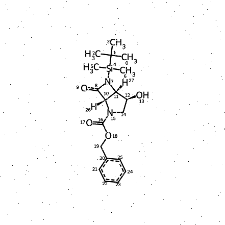 CC(C)(C)[Si](C)(C)N1C(=O)[C@@H]2[C@H]1[C@@H](O)CN2C(=O)OCc1ccccc1